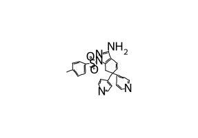 Cc1ccc(S(=O)(=O)n2nc(N)c3c2CC(c2ccncc2)(c2ccncc2)C=C3)cc1